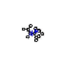 c1ccc(-c2cc(-c3ccccc3)cc(-c3cc(-c4ccccc4)nc(-c4cc(-c5cc6ccccc6c6ccccc56)cc(-n5c6ccccc6c6ccc(-c7ccccc7)cc65)c4)n3)c2)cc1